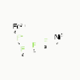 [F-].[F-].[F-].[F-].[Fe+2].[Ni+2]